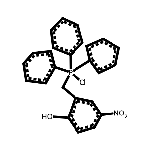 O=[N+]([O-])c1ccc(O)c(CP(Cl)(c2ccccc2)(c2ccccc2)c2ccccc2)c1